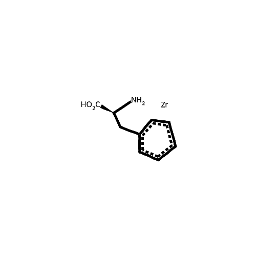 N[C@@H](Cc1ccccc1)C(=O)O.[Zr]